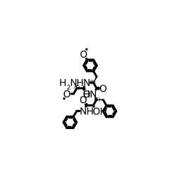 COC[C@H](N)C(=O)N[C@@H](Cc1ccc(OC)cc1)C(=O)N[C@@H](Cc1ccccc1)C(O)C(=O)NCc1ccccc1